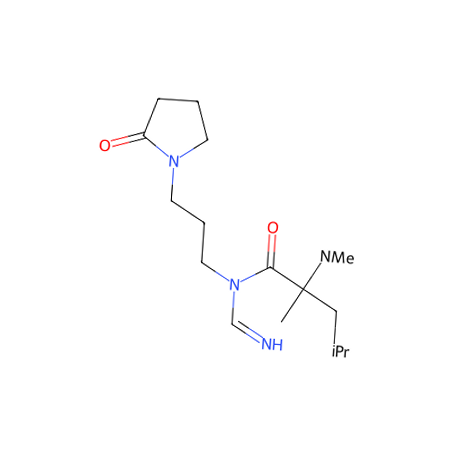 CNC(C)(CC(C)C)C(=O)N(C=N)CCCN1CCCC1=O